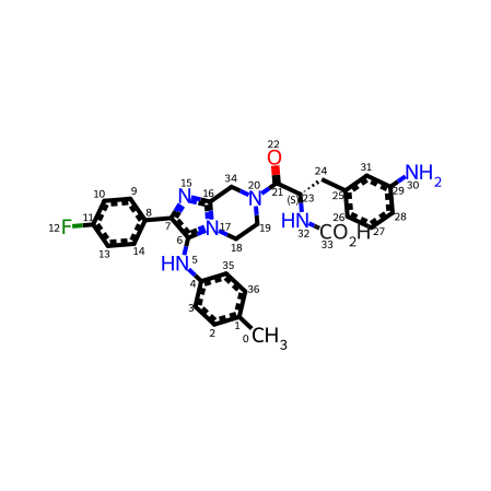 Cc1ccc(Nc2c(-c3ccc(F)cc3)nc3n2CCN(C(=O)[C@H](Cc2cccc(N)c2)NC(=O)O)C3)cc1